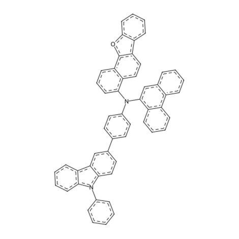 c1ccc(-n2c3ccccc3c3cc(-c4ccc(N(c5cc6ccccc6c6ccccc56)c5cccc6c5ccc5c7ccccc7oc65)cc4)ccc32)cc1